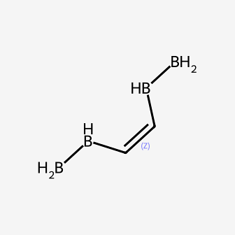 BB/C=C\BB